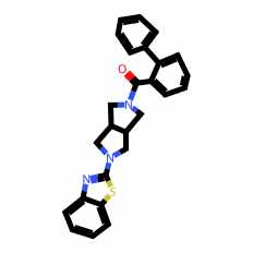 O=C(c1ccccc1-c1ccccc1)N1CC2CN(c3nc4ccccc4s3)CC2C1